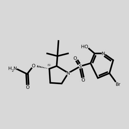 CC(C)(C)C1[C@@H](OC(N)=O)CCN1S(=O)(=O)c1cc(Br)cnc1O